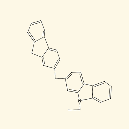 CCn1c2ccccc2c2ccc(Cc3ccc4c(c3)Cc3ccccc3-4)cc21